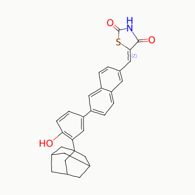 O=C1NC(=O)/C(=C/c2ccc3cc(-c4ccc(O)c(C56CC7CC(CC(C7)C5)C6)c4)ccc3c2)S1